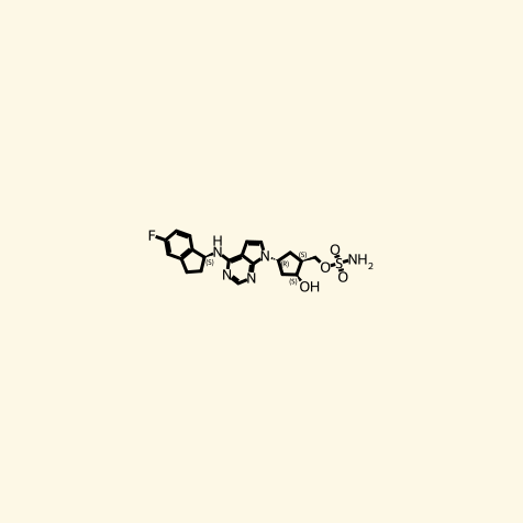 NS(=O)(=O)OC[C@@H]1C[C@@H](n2ccc3c(N[C@H]4CCc5cc(F)ccc54)ncnc32)C[C@@H]1O